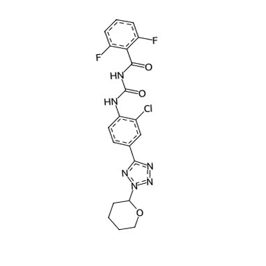 O=C(NC(=O)c1c(F)cccc1F)Nc1ccc(-c2nnn(C3CCCCO3)n2)cc1Cl